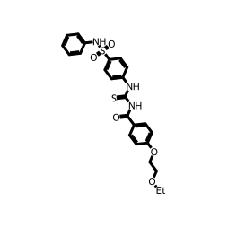 CCOCCOc1ccc(C(=O)NC(=S)Nc2ccc(S(=O)(=O)Nc3ccccc3)cc2)cc1